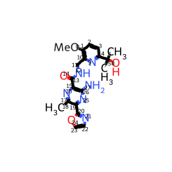 COc1ccc(C(C)(C)O)nc1CNC(=O)c1nc(C)c(-c2ncco2)nc1N